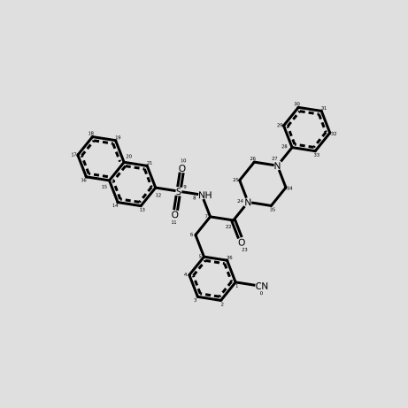 N#Cc1cccc(CC(NS(=O)(=O)c2ccc3ccccc3c2)C(=O)N2CCN(c3ccccc3)CC2)c1